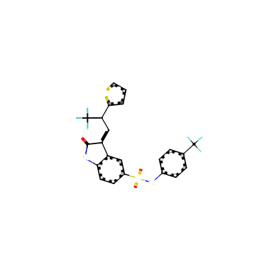 O=C1Nc2ccc(S(=O)(=O)Nc3ccc(C(F)(F)F)cc3)cc2C1=CC(c1cccs1)C(F)(F)F